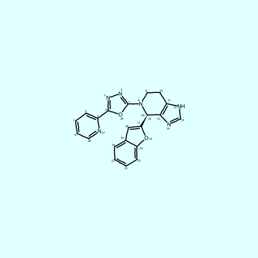 c1ccc(-c2nnc(N3CCc4[nH]cnc4[C@H]3c3cc4ccccc4o3)o2)nc1